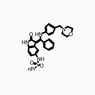 CCCS(=O)(=O)Nc1ccc2c(c1)/C(=C(/Nc1ccc(CN3CCOCC3)cc1)c1ccccc1)C(=O)N2